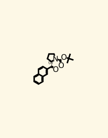 CC(C)(C)OC(=O)N1CCC[C@H]1C(=O)c1ccc2ccccc2c1